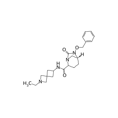 CCN1CC2(CC(NC(=O)C3CC[C@@H]4CN3C(=O)N4OCc3ccccc3)C2)C1